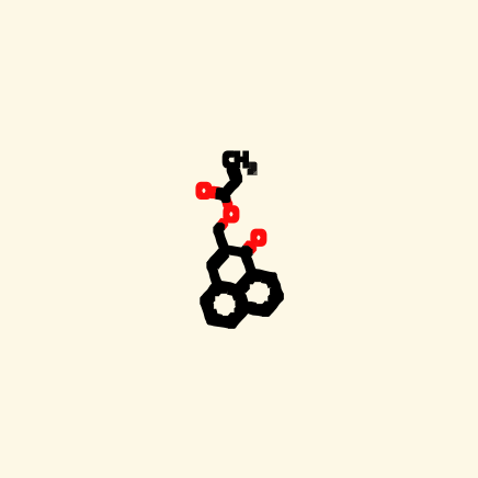 C=CC(=O)OCC1=Cc2cccc3cccc(c23)C1=O